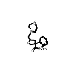 O=C1Nc2ccccc2C12COC(CN1CCSCC1)C2